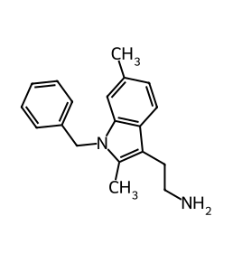 Cc1ccc2c(CCN)c(C)n(Cc3ccccc3)c2c1